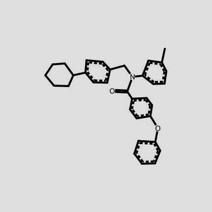 Cc1cccc(N(Cc2ccc(C3CCCCC3)cc2)C(=O)c2ccc(Oc3ccccc3)cc2)c1